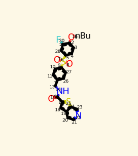 CCCCOc1ccc(S(=O)(=O)c2ccc(CNC(=O)c3cc4ccncc4s3)cc2)cc1F